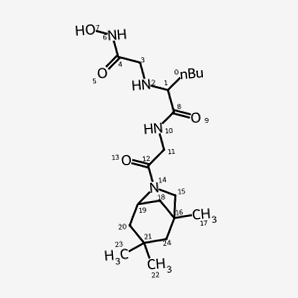 CCCCC(NCC(=O)NO)C(=O)NCC(=O)N1CC2(C)CC1CC(C)(C)C2